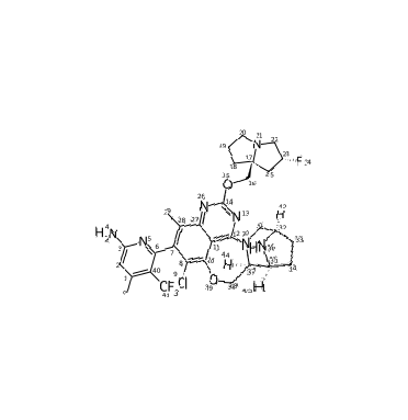 Cc1cc(N)nc(-c2c(Cl)c3c4c(nc(OC[C@@]56CCCN5C[C@H](F)C6)nc4c2C)N2C[C@H]4CC[C@H](N4)[C@H]2CO3)c1C(F)(F)F